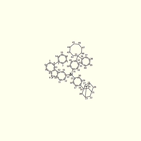 c1ccc(-c2cccc3sc4ccc(N(c5ccc(C67CC8CC(CC(C8)C6)C7)cc5)c5ccc(C6(c7ccccc7)CCCCCCC6)cc5)cc4c23)cc1